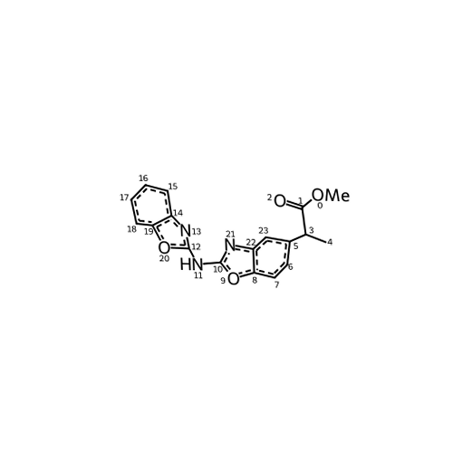 COC(=O)C(C)c1ccc2oc(Nc3nc4ccccc4o3)nc2c1